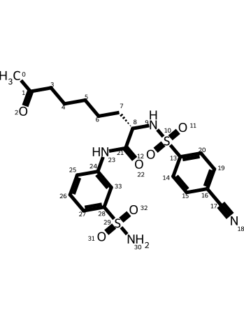 CC(=O)CCCCC[C@H](NS(=O)(=O)c1ccc(C#N)cc1)C(=O)Nc1cccc(S(N)(=O)=O)c1